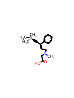 CN(C/C=C(/C#C[Si](C)(C)C)c1ccccc1)CC(=O)O